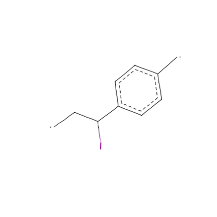 [CH2]CC(I)c1ccc([CH2])cc1